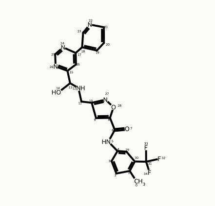 Cc1ccc(NC(=O)c2cc(CNC(O)c3cc(-c4cccnc4)ncn3)no2)cc1C(F)(F)F